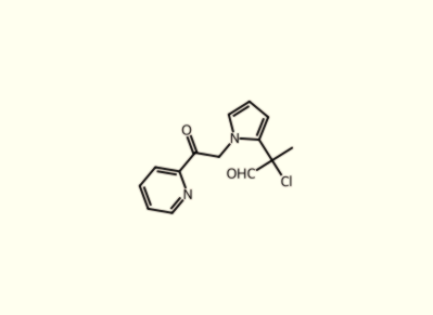 CC(Cl)(C=O)c1cccn1CC(=O)c1ccccn1